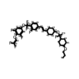 CCCOC1CCC(C(F)(F)OC2CCC(/C=C/c3ccc(C(F)(F)Oc4cc(F)c(OC=C(F)F)c(F)c4)c(F)c3)CC2)CC1